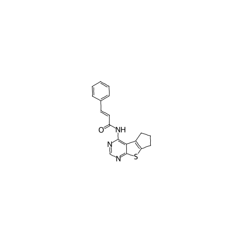 O=C(/C=C/c1ccccc1)Nc1ncnc2sc3c(c12)CCC3